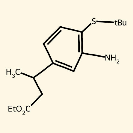 CCOC(=O)CC(C)c1ccc(SC(C)(C)C)c(N)c1